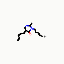 C=C/C=C\C=C1/CN=C(C)N(CC/C=C/CCC)C1=O